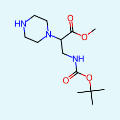 COC(=O)C(CNC(=O)OC(C)(C)C)N1CCNCC1